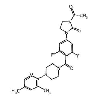 CC(=O)N1CCN(c2cc(F)c(C(=O)N3CCN(c4ncc(C)cc4C)CC3)c(F)c2)C1=O